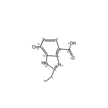 CCc1nc2c(C(=O)O)ccc(Cl)c2[nH]1